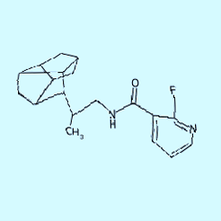 CC(CNC(=O)c1cccnc1F)C1C2CC3C4CC(CC42)C31